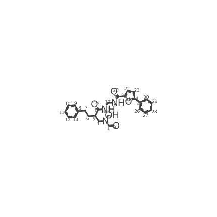 O=CN(O)CC(CCc1ccccc1)C(=O)NCNC(=O)c1ccc(-c2ccccc2)o1